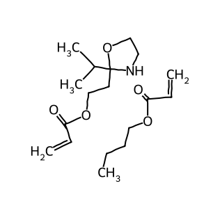 C=CC(=O)OCCC1(C(C)C)NCCO1.C=CC(=O)OCCCC